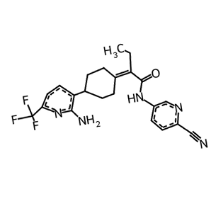 CCC(C(=O)Nc1ccc(C#N)nc1)=C1CCC(c2ccc(C(F)(F)F)nc2N)CC1